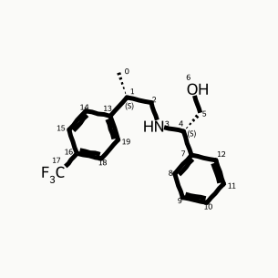 C[C@H](CN[C@H](CO)c1ccccc1)c1ccc(C(F)(F)F)cc1